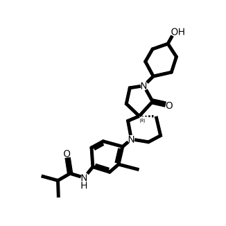 Cc1cc(NC(=O)C(C)C)ccc1N1CCC[C@@]2(CCN(C3CCC(O)CC3)C2=O)C1